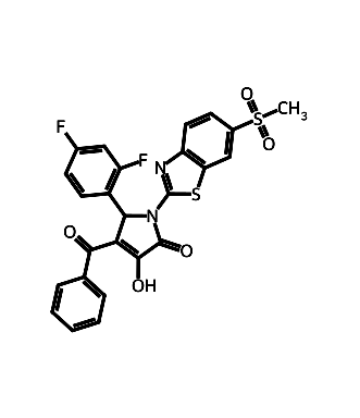 CS(=O)(=O)c1ccc2nc(N3C(=O)C(O)=C(C(=O)c4ccccc4)C3c3ccc(F)cc3F)sc2c1